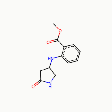 COC(=O)c1ccccc1NC1CNC(=O)C1